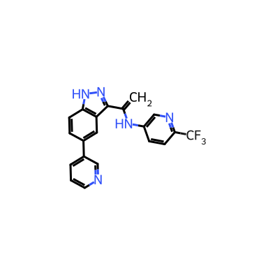 C=C(Nc1ccc(C(F)(F)F)nc1)c1n[nH]c2ccc(-c3cccnc3)cc12